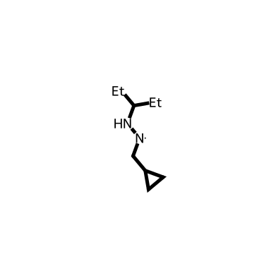 CCC(CC)N[N]CC1CC1